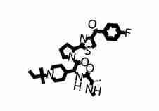 CCC(C)(C)N1CCC([C@H](NC(=O)[C@H](C)NC)C(=O)N2CCCC2C2=NC(C(=O)c3ccc(F)cc3)CS2)CC1